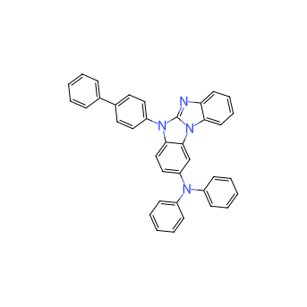 c1ccc(-c2ccc(-n3c4ccc(N(c5ccccc5)c5ccccc5)cc4n4c5ccccc5nc34)cc2)cc1